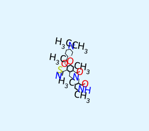 Cc1cc(C)c(CN2CCc3c(c(C)c4c(c3-c3cncs3)O[C@](C)([C@H]3CC[C@H](N(C)C)CC3)O4)C2=O)c(=O)[nH]1